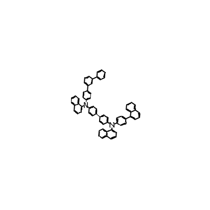 c1ccc(-c2cccc(-c3ccc(N(c4ccc(-c5ccc(N(c6ccc(-c7cccc8ccccc78)cc6)c6cccc7ccccc67)cc5)cc4)c4cccc5ccccc45)cc3)c2)cc1